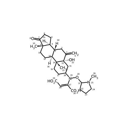 C=C1C[C@H]2[C@@H]3CCC(=O)[C@@]3(C)CC[C@@H]2[C@@]2(C)CCC(N(OC3CCCN3C)/C(=C\C(=O)O)C(=O)O)C[C@]12O